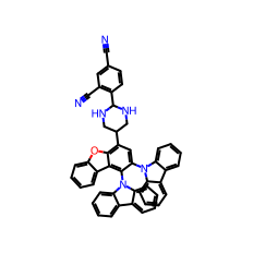 N#Cc1ccc(C2NCC(c3cc(-n4c5ccccc5c5ccccc54)c(-n4c5ccccc5c5ccccc54)c4c3oc3ccccc34)CN2)c(C#N)c1